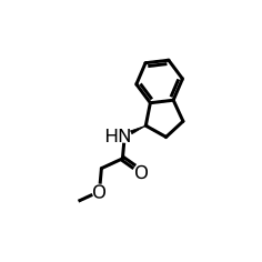 COCC(=O)N[C@@H]1CCc2ccccc21